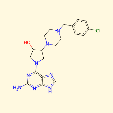 Nc1nc(N2CC(O)C(N3CCN(Cc4ccc(Cl)cc4)CC3)C2)c2nc[nH]c2n1